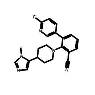 Cn1cncc1C1CCN(c2c(C#N)cccc2-c2ccc(F)nc2)CC1